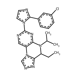 CCC1c2nncn2-c2cnc(-n3ccnc3-c3cccc(Cl)c3)nc2N1C(C)C